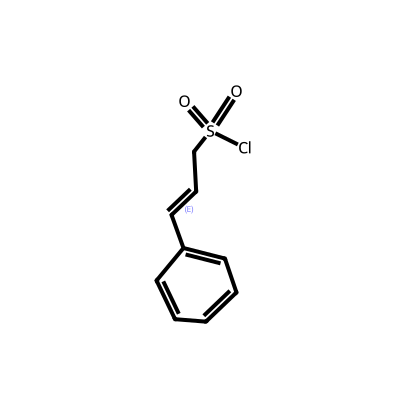 O=S(=O)(Cl)C/C=C/c1ccccc1